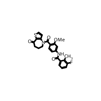 COc1cc(NC(=O)c2cccc(F)c2C)ccc1C(=O)N1CCCC(=O)c2sccc21